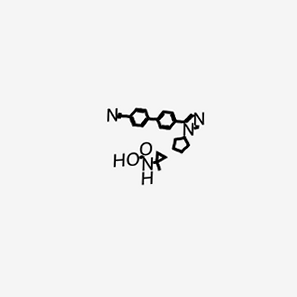 CC1(NC(=O)O)CC1.N#Cc1ccc(-c2ccc(-c3cncn3C3CCCC3)cc2)cc1